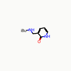 CCC(C)NCc1ccc[nH]c1=O